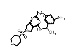 Cc1nc2c(c(N[C@H](C)c3cc(N)cc(C(F)(F)F)c3)n1)CN(S(=O)(=O)C1CCOCC1)C2